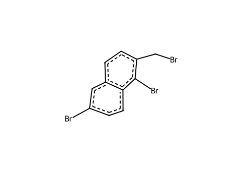 BrCc1ccc2cc(Br)ccc2c1Br